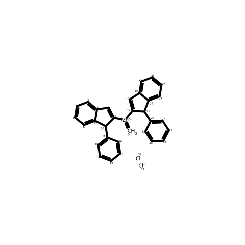 [CH2]=[Zr+2]([C]1=Cc2ccccc2C1c1ccccc1)[C]1=Cc2ccccc2C1c1ccccc1.[Cl-].[Cl-]